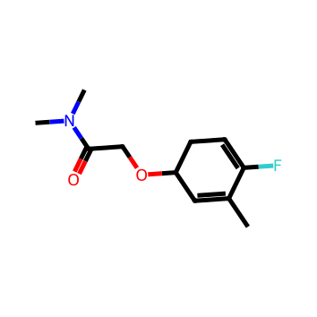 CC1=CC(OCC(=O)N(C)C)CC=C1F